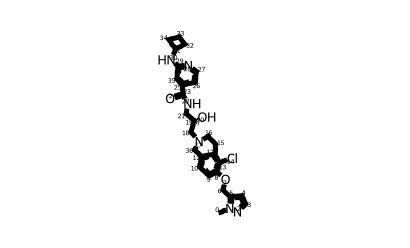 Cn1nccc1COc1ccc2c(c1Cl)CCN(C[C@@H](O)CNC(=O)c1ccnc(NC3CCC3)c1)C2